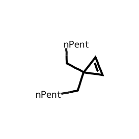 CCCCCCC1(CCCCCC)C=C1